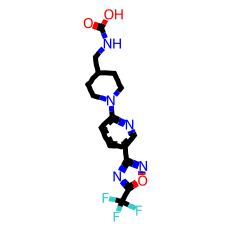 O=C(O)NCC1CCN(c2ccc(-c3noc(C(F)(F)F)n3)cn2)CC1